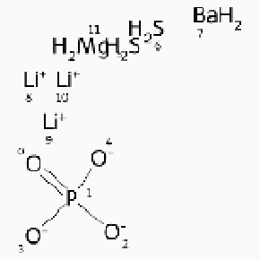 O=P([O-])([O-])[O-].S.S.[BaH2].[Li+].[Li+].[Li+].[MgH2]